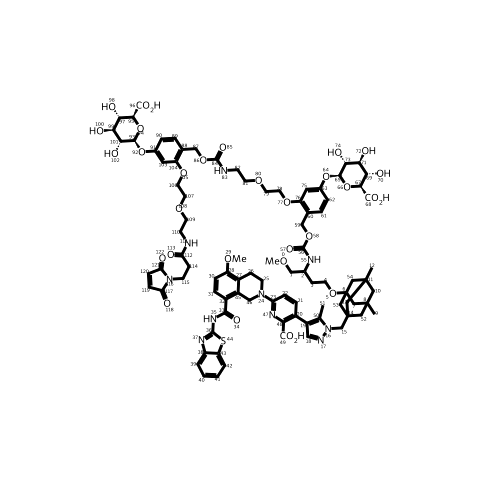 COCC(CCOC12CC3(C)CC(C)(CC(Cn4ncc(-c5ccc(N6CCc7c(OC)ccc(C(=O)Nc8nc9ccccc9s8)c7C6)nc5C(=O)O)c4C)(C3)C1)C2)NC(=O)OCc1ccc(O[C@@H]2O[C@H](C(=O)O)[C@@H](O)[C@H](O)[C@H]2O)cc1OCCOCCNC(=O)OCc1ccc(O[C@@H]2O[C@H](C(=O)O)[C@@H](O)[C@H](O)[C@H]2O)cc1OCCOCCNC(=O)CCN1C(=O)C=CC1=O